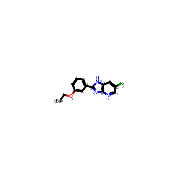 CC(C)(C)COc1cccc(-c2nc3ncc(Br)cc3[nH]2)c1